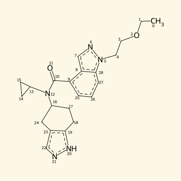 CCOCCn1ncc2c(C(=O)N(C3CC3)C3CCc4[nH]ncc4C3)cccc21